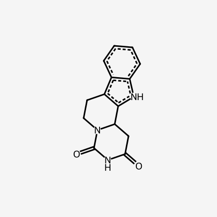 O=C1CC2c3[nH]c4ccccc4c3CCN2C(=O)N1